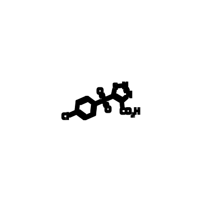 O=C(O)c1nnsc1S(=O)(=O)c1ccc(Cl)cc1